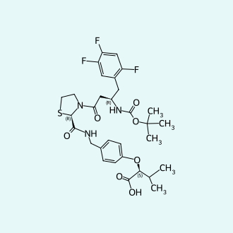 CC(C)[C@H](Oc1ccc(CNC(=O)[C@H]2SCCN2C(=O)C[C@@H](Cc2cc(F)c(F)cc2F)NC(=O)OC(C)(C)C)cc1)C(=O)O